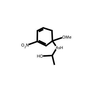 COC1([AsH]C(C)O)C=C([N+](=O)[O-])C=CC1